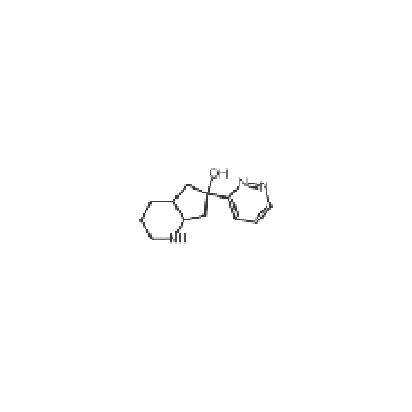 OC1(c2cccnn2)CC2CCCNC2C1